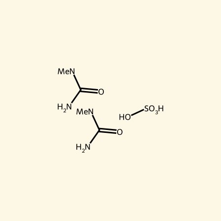 CNC(N)=O.CNC(N)=O.O=S(=O)(O)O